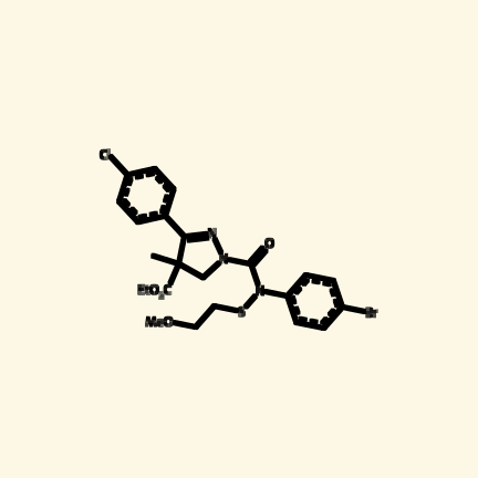 CCOC(=O)C1(C)CN(C(=O)N(SCCOC)c2ccc(Br)cc2)N=C1c1ccc(Cl)cc1